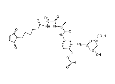 CC(C)[C@H](NC(=O)CCCCCN1C(=O)C=CC1=O)C(=O)N[C@@H](C)C(=O)Nc1ccc(COC(=O)I)c(C#C[C@H]2C[C@@H](O)C[C@@H](C(=O)O)O2)c1